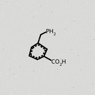 O=C(O)c1cccc(CP)c1